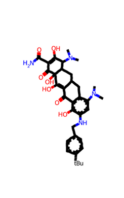 CN(C)c1cc(NCc2ccc(C(C)(C)C)cc2)c(O)c2c1CC1CC3C(N(C)C)C(O)=C(C(N)=O)C(=O)C3(O)C(O)=C1C2=O